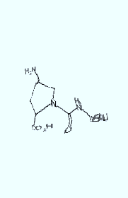 CC(C)(C)NC(=O)N1CC(N)CC1C(=O)O